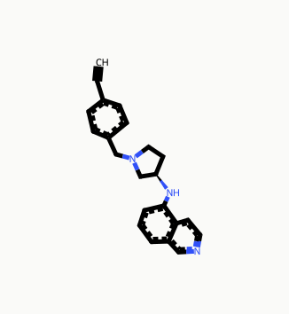 C#Cc1ccc(CN2CC[C@@H](Nc3cccc4cnccc34)C2)cc1